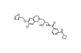 O=C(NCC(O)CN1CCc2cc(OCc3cnco3)c(Cl)cc2C1)c1ccnc(NC2CCC2)c1